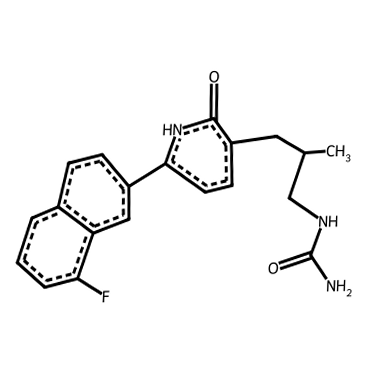 CC(CNC(N)=O)Cc1ccc(-c2ccc3cccc(F)c3c2)[nH]c1=O